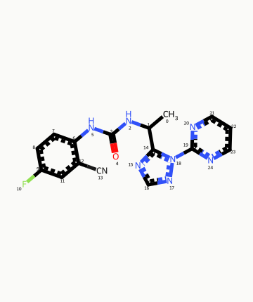 CC(NC(=O)Nc1ccc(F)cc1C#N)c1ncnn1-c1ncccn1